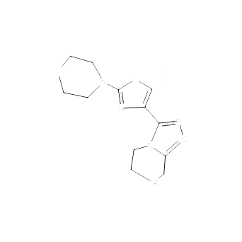 Cl.Cl.c1sc(N2CCOCC2)nc1-c1nnc2n1CCNC2